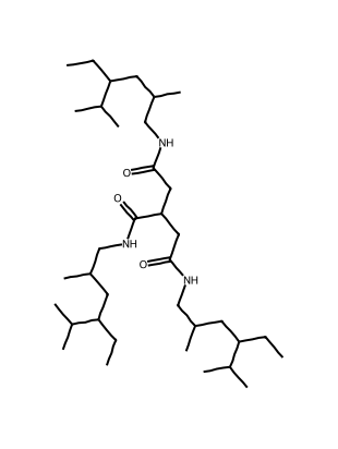 CCC(CC(C)CNC(=O)CC(CC(=O)NCC(C)CC(CC)C(C)C)C(=O)NCC(C)CC(CC)C(C)C)C(C)C